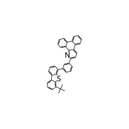 CC(C)(C)c1cccc2c1sc1c(-c3cccc(-c4ccc5c6ccccc6c6ccccc6c5n4)c3)cccc12